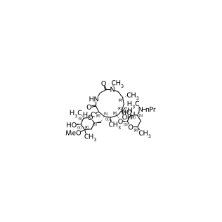 CCCN(C)[C@H]1C[C@@H](C)O[C@@H](O[C@@H]2[C@@H](C)[C@H](C[C@H]3C[C@@](C)(OC)[C@@H](O)[C@H](C)O3)[C@@H](C)C(=O)NCC(=O)N(C)C[C@H](C)C[C@@]2(C)O)[C@@H]1O